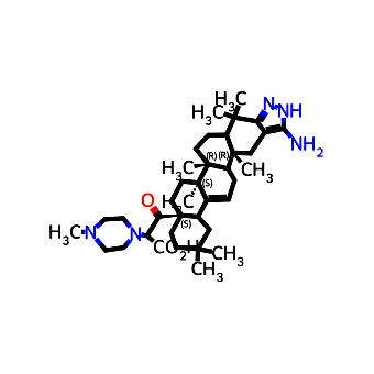 CN1CCN(C(C(=O)O)C(=O)[C@]23CCC(C)(C)CC2C2=CCC4[C@@]5(C)Cc6c(n[nH]c6N)C(C)(C)C5CC[C@@]4(C)[C@]2(C)CC3)CC1